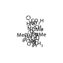 CC[C@H](C)[C@@H]([C@@H](CC(=O)N1CCC[C@H]1[C@H](OC)[C@@H](C)C(=O)N[C@@H](Cc1ccccc1)C(=O)O)OC)N(C)C(=O)[C@@H](NC(=O)[C@H](C(C)C)N(C)Cc1cccc(NC)c1)C(C)C